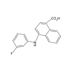 O=C(O)c1ccc(Nc2cccc(F)c2)c2ccccc12